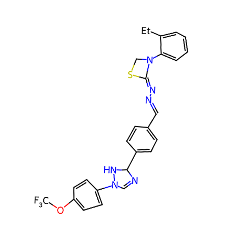 CCc1ccccc1N1CS/C1=N\N=C\c1ccc(C2N=CN(c3ccc(OC(F)(F)F)cc3)N2)cc1